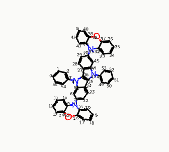 c1ccc(-n2c3cc(N4c5ccccc5Oc5ccccc54)ccc3c3c2c2ccc(N4c5ccccc5Oc5ccccc54)cc2n3-c2ccccc2)cc1